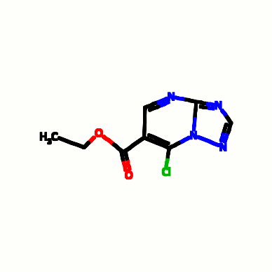 CCOC(=O)c1cnc2ncnn2c1Cl